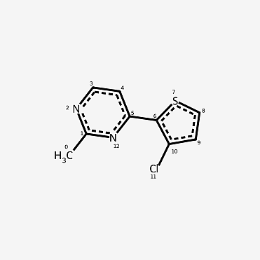 Cc1nccc(-c2sccc2Cl)n1